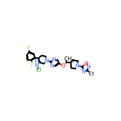 CCc1noc(N2CCC(C(C)Oc3cnc(N4CCC(c5cc(F)ccc5F)[C@@H](NCl)C4)nc3)CC2)n1